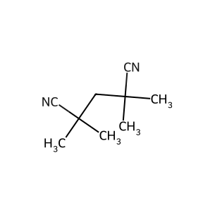 CC(C)(C#N)CC(C)(C)C#N